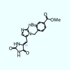 CCCCc1ncc(/C=C2\NC(=O)NC2=O)n1Cc1ccc(C(=O)OC)cc1